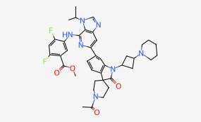 COC(=O)c1cc(Nc2nc(-c3ccc4c(c3)N(C3CC(N5CCCCC5)C3)C(=O)C43CCN(C(C)=O)CC3)cc3ncn(C(C)C)c23)c(F)cc1F